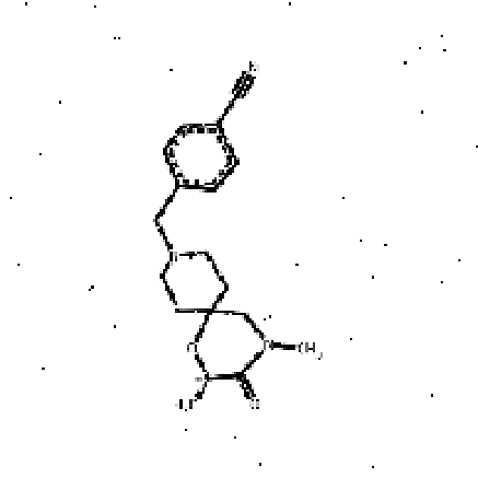 C[C@H]1OC2(CCN(Cc3ccc(C#N)cc3)CC2)CN(C)C1=O